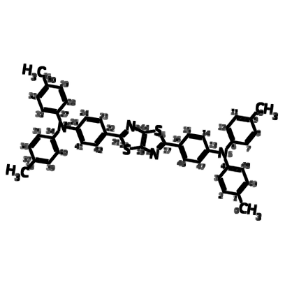 Cc1ccc(N(c2ccc(C)cc2)c2ccc(-c3nc4sc(-c5ccc(N(c6ccc(C)cc6)c6ccc(C)cc6)cc5)nc4s3)cc2)cc1